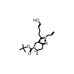 C=CCn1nc2c(c1CCC=CO)CN(C(=O)OC(C)(C)C)[C@H](C)C2